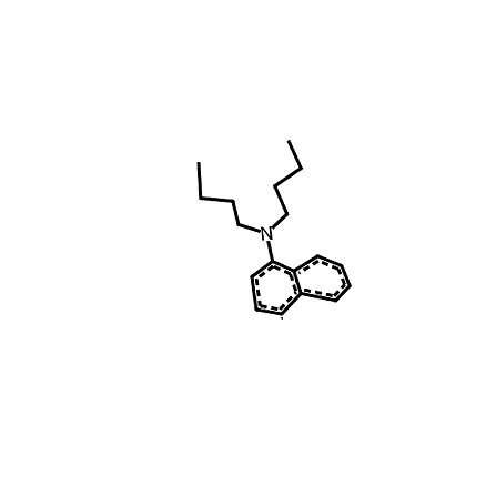 CCCCN(CCCC)c1cc[c]c2ccccc12